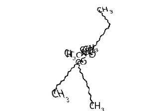 CCCCCCCC/C=C\CCCCCCCCOC(=O)[C@H](CCC(=O)OC(CCCCCCCCCCCCCC)CCCCCCCCCCCCCC)[N+](CC)(CC)CC.[Cl-]